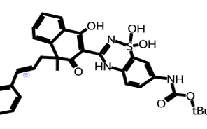 CC(C)(C)OC(=O)Nc1ccc2c(c1)S(O)(O)N=C(C1=C(O)c3ccccc3C(C)(C/C=C/c3ccccc3)C1=O)N2